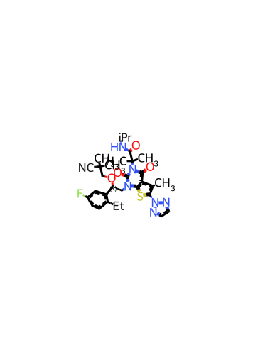 CCc1ccc(F)cc1[C@H](Cn1c(=O)n(C(C)(C)C(=O)NC(C)C)c(=O)c2c(C)c(-n3nccn3)sc21)OCC(C)(C)C#N